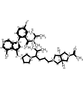 CC(=O)N1C[C@@H]2CN(CCCC(C(C)C)N3CC[C@H](Cc4cn(-c5ccc(F)cc5C(=O)N(C)C(C)C)c5cncc(Cl)c45)C3)C[C@H]2C1